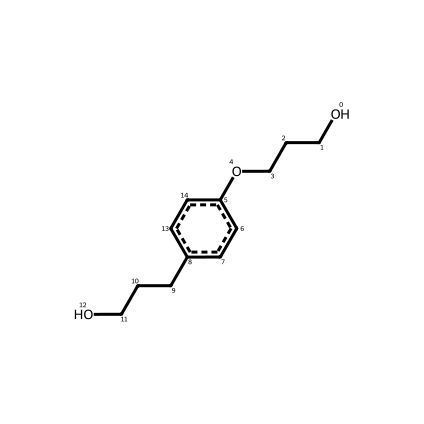 OCCCOc1ccc(CCCO)cc1